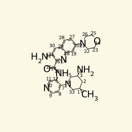 C[C@@H]1C[C@H](N)CN(c2ccncc2NC(=O)c2nc3cc(N4CCOCC4)ccc3cc2N)C1